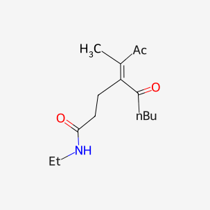 CCCCC(=O)/C(CCC(=O)NCC)=C(/C)C(C)=O